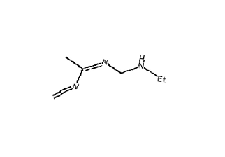 C=N/C(C)=N\CNCC